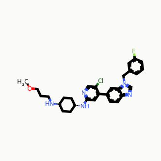 COCCCN[C@H]1CC[C@H](Nc2cc(-c3ccc4ncn(Cc5cccc(F)c5)c4c3)c(Cl)cn2)CC1